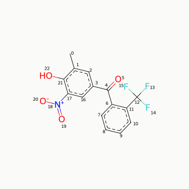 Cc1cc(C(=O)c2ccccc2C(F)(F)F)cc([N+](=O)[O-])c1O